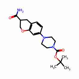 CC(C)(C)OC(=O)N1CCN(c2ccc3c(c2)OCC(C(N)=O)C3)CC1